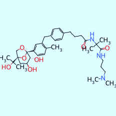 Cc1ccc([C@@]23OC[C@@](C(C)(C)O)(C[C@H](O)[C@H]2O)O3)cc1Cc1ccc(CCCC(=O)NC(C)(C)C(=O)NCCCN(C)C)cc1